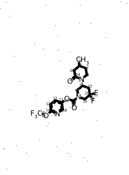 CC1CCN([C@H]2CN(C(=O)Oc3ccc(OC(F)(F)F)nc3)CC(F)(F)C2)C(=O)C1